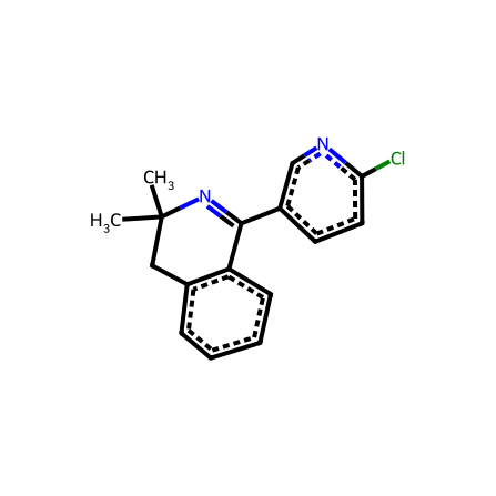 CC1(C)Cc2ccccc2C(c2ccc(Cl)nc2)=N1